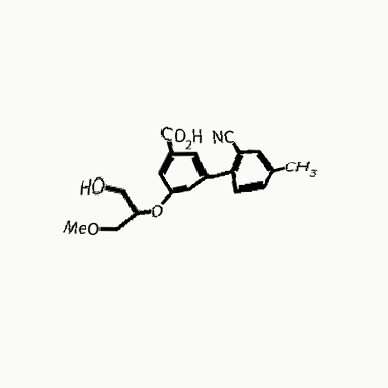 COCC(CO)Oc1cc(C(=O)O)cc(-c2ccc(C)cc2C#N)c1